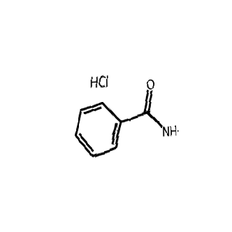 Cl.[NH]C(=O)c1ccccc1